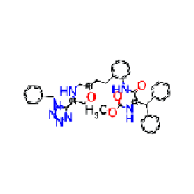 COC(=O)N[C@H](C(=O)Nc1ccccc1CC[C@@H]1CN[C@H](c2nnnn2Cc2ccccc2)CO1)C(c1ccccc1)c1ccccc1